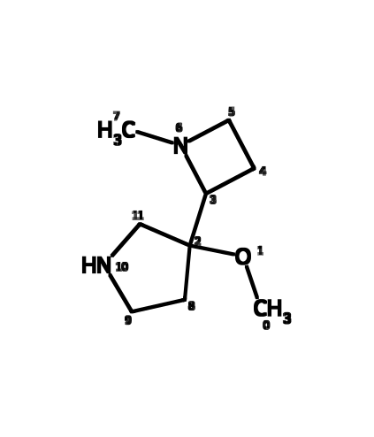 COC1(C2CCN2C)CCNC1